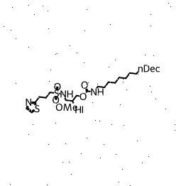 CCCCCCCCCCCCCCCCCCNC(=O)OCC(CNS(=O)(=O)CCCc1nccs1)OC.I